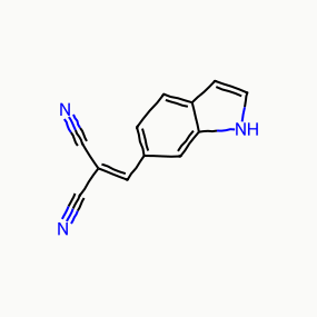 N#CC(C#N)=Cc1ccc2cc[nH]c2c1